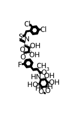 CC(=Cc1ccc(O[C@@H]2O[C@H](c3csc(Cc4ccc(Cl)cc4Cl)n3)[C@@H](O)[C@@H]2O)c(F)c1)C(=O)N[C@@H]1[C@H](O)[C@@H](O)[C@H]2OCO[C@H]2[C@@H]1O